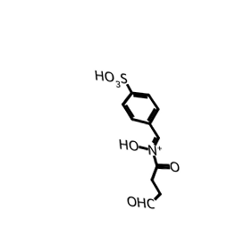 O=CCCC(=O)[N+](O)=Cc1ccc(S(=O)(=O)O)cc1